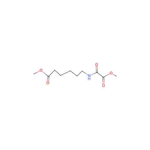 COC(=O)CCCCCNC(=O)C(=O)OC